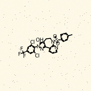 Cc1ccc(S(=O)(=O)N2CCc3c(nn(-c4c(Cl)cc(C(F)(F)F)cc4Cl)c3O)-c3cccnc32)cc1